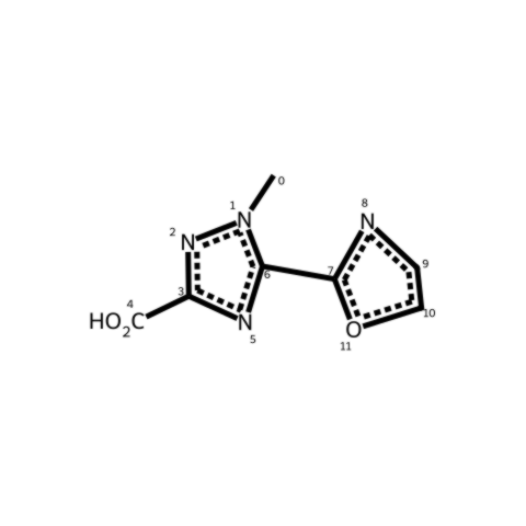 Cn1nc(C(=O)O)nc1-c1ncco1